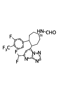 O=CN[C@H]1CCC(c2ccc(C(F)(F)F)c(F)c2)C(c2cc(C(F)F)nc3ncnn23)CC1